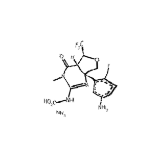 CN1C(=O)[C@@H]2[C@@H](C(F)(F)F)OC[C@]2(c2cc(N)ccc2F)N=C1NC(=O)O.N